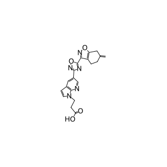 C=C1CCc2c(-c3nc(-c4cnc5c(ccn5CCC(=O)O)c4)no3)noc2C1